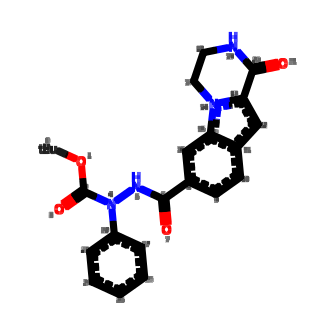 CC(C)(C)OC(=O)N(NC(=O)c1ccc2cc3n(c2c1)CCNC3=O)c1ccccc1